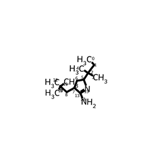 CCC(C)(C)C1CC(CC(C)(C)C)C(N)=N1